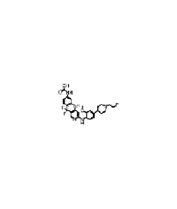 COc1cc(C2CCN(CCF)CC2)ccc1Nc1cc(Nc2cccc(NC(=O)O)c2)c(C(F)(F)F)cn1